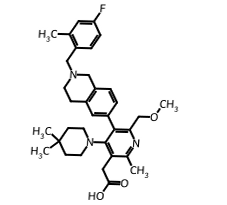 COCc1nc(C)c(CC(=O)O)c(N2CCC(C)(C)CC2)c1-c1ccc2c(c1)CCN(Cc1ccc(F)cc1C)C2